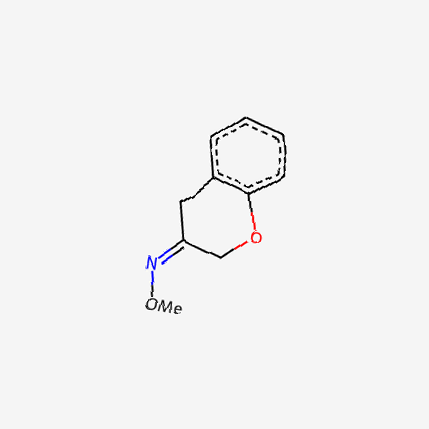 CO/N=C1\COc2ccccc2C1